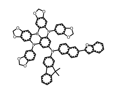 CC1(C)c2ccccc2-c2ccc(N(c3cc4c5c(c3)N(c3ccc6c(c3)OCO6)c3cc6c(cc3B5c3cc5c(cc3N4c3ccc4c(c3)OCO4)OCO5)OCO6)c3ccc4cc(-c5cc6ccccc6o5)ccc4c3)cc21